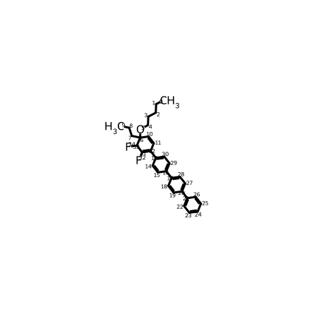 CCCCCOC1(CCC)C=CC(c2ccc(-c3ccc(-c4ccccc4)cc3)cc2)=C(F)C1F